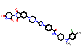 CN(c1ccc(C#N)c(Cl)c1)[C@H]1CC[C@H](NC(=O)c2ccc(N3CC(N4CCN(c5ccc6c(c5)C(=O)N(C5CCC(=O)NC5=O)C6=O)CC4)C3)cc2)CC1